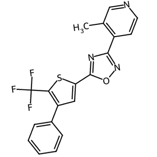 Cc1cnccc1-c1noc(-c2cc(-c3ccccc3)c(C(F)(F)F)s2)n1